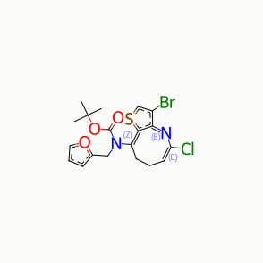 CC(C)(C)OC(=O)N(Cc1ccco1)\C1=c2/scc(Br)/c2=N/C(Cl)=C\CC1